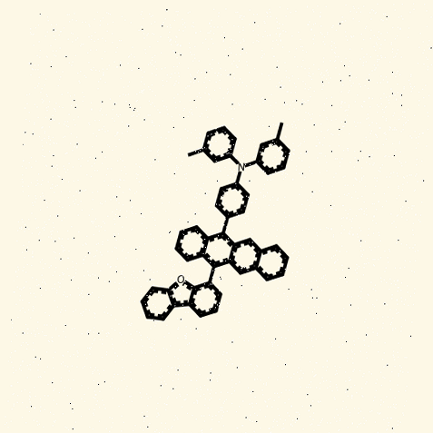 Cc1cccc(N(c2ccc(-c3c4ccccc4c(-c4cccc5c4oc4ccccc45)c4cc5ccccc5cc34)cc2)c2cccc(C)c2)c1